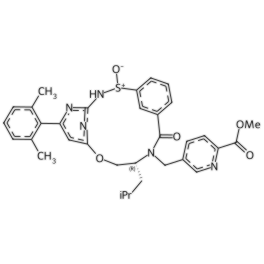 COC(=O)c1ccc(CN2C(=O)c3cccc(c3)[S+]([O-])Nc3nc(cc(-c4c(C)cccc4C)n3)OC[C@H]2CC(C)C)cn1